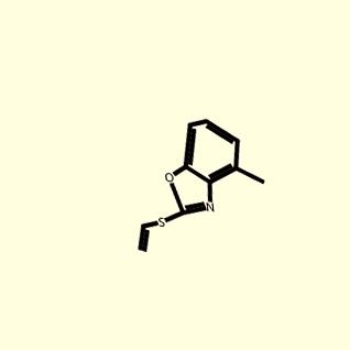 C=CSc1nc2c(C)cccc2o1